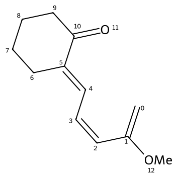 C=C(/C=C\C=C1/CCCCC1=O)OC